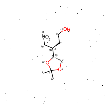 CC1(C)OC[C@@H]([C@H](CCO)C[N+](=O)[O-])O1